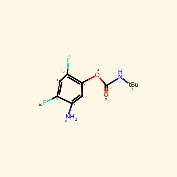 CC(C)(C)NC(=O)Oc1cc(N)c(F)cc1F